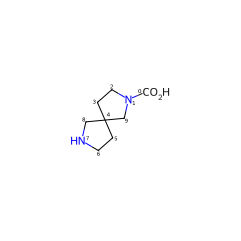 O=C(O)N1CCC2(CCNC2)C1